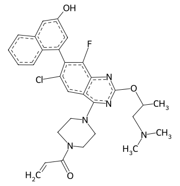 C=CC(=O)N1CCN(c2nc(OC(C)CN(C)C)nc3c(F)c(-c4cc(O)cc5ccccc45)c(Cl)cc23)CC1